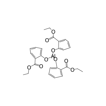 CCOC(=O)c1ccccc1[O][Al]([O]c1ccccc1C(=O)OCC)[O]c1ccccc1C(=O)OCC